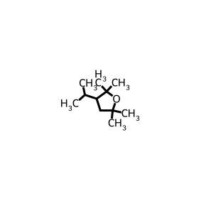 CC(C)C1CC(C)(C)OC1(C)C